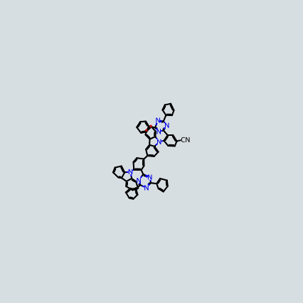 N#Cc1ccc(-n2c3ccccc3c3cc(-c4ccc(-n5c6ccccc6c6ccccc65)c(-c5nc(-c6ccccc6)nc(-c6ccccc6)n5)c4)ccc32)c(-c2nc(-c3ccccc3)nc(-c3ccccc3)n2)c1